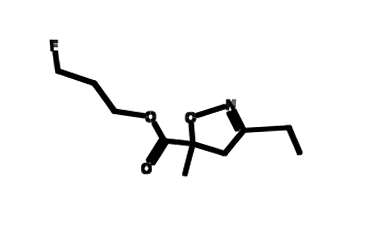 CCC1=NOC(C)(C(=O)OCCCF)C1